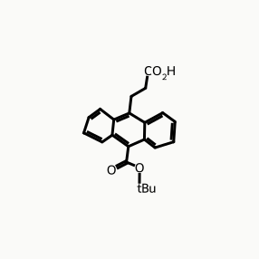 CC(C)(C)OC(=O)c1c2ccccc2c(CCC(=O)O)c2ccccc12